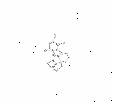 O=C(O)CC1(c2ccoc2)OCCc2c1[nH]c1c(Cl)cc(Cl)c(Cl)c21